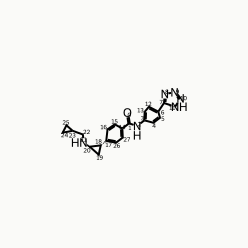 O=C(Nc1ccc(-c2nnn[nH]2)cc1)c1ccc([C@@H]2C[C@H]2NCC2CC2)cc1